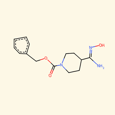 NC(=NO)C1CCN(C(=O)OCc2ccccc2)CC1